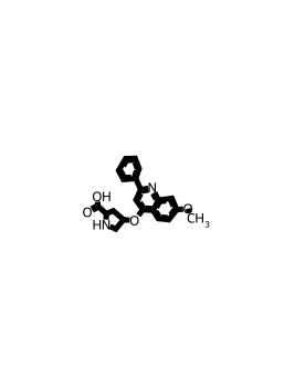 COc1ccc2c(OC3CNC(C(=O)O)C3)cc(-c3ccccc3)nc2c1